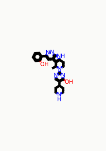 CC1c2c([nH]c3nnc(-c4ccccc4O)cc23)CCN1c1ncc(C2CCNCC2)c(O)n1